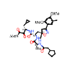 CNC(=O)C(=O)[C@H](CC1CC1)NC(=O)[C@@H]1C[C@]2(CC(c3cc(C)c(OC)cc3OC)=NO2)CN1C(=O)[C@@H](NC(=O)CC1CCCC1)C(C)(C)C